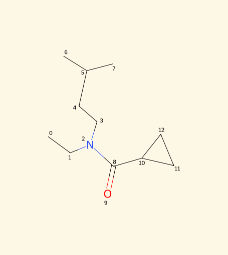 CCN(CCC(C)C)C(=O)C1CC1